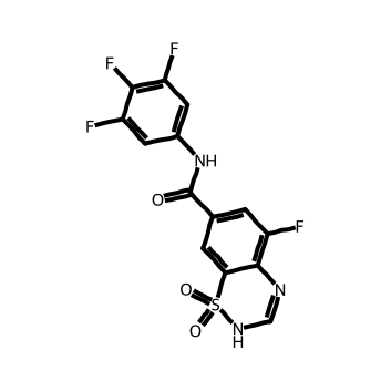 O=C(Nc1cc(F)c(F)c(F)c1)c1cc(F)c2c(c1)S(=O)(=O)NC=N2